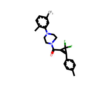 Cc1ccc(C2=C(C(=O)N3CCN(c4cc(C(F)(F)F)ccc4C)CC3)C2(F)F)cc1